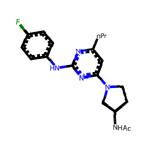 CCCc1cc(N2CCC(NC(C)=O)C2)nc(Nc2ccc(F)cc2)n1